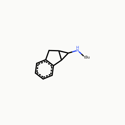 CC(C)(C)NC1C2Cc3ccccc3C21